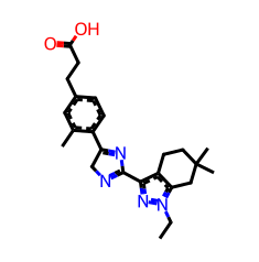 CCn1nc(C2=NCC(c3ccc(CCC(=O)O)cc3C)=N2)c2c1CC(C)(C)CC2